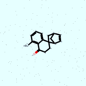 CCCCc1cccc2c1C(=O)CCC21CC2C=CC1C2